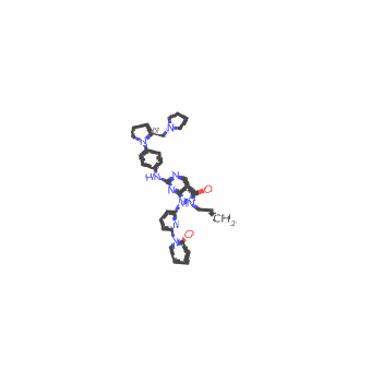 C=CCn1c(=O)c2cnc(Nc3ccc(N4CCC[C@H]4CN4CCCC4)cc3)nc2n1-c1cccc(-n2ccccc2=O)n1